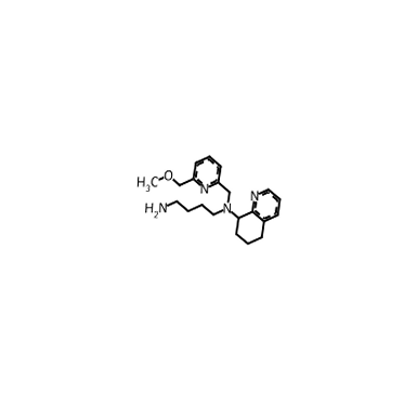 COCc1cccc(CN(CCCCN)C2CCCc3cccnc32)n1